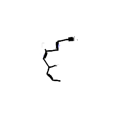 C/C=C\C(F)/C=C(F)\C=C\C#N